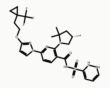 C[C@@H]1CN(c2nc(-n3ccc(OCCC4(C(F)(F)F)CC4)n3)ccc2C(=O)NS(=O)(=O)C2=CC=CBN2)C(C)(C)C1